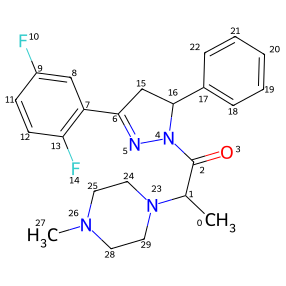 CC(C(=O)N1N=C(c2cc(F)ccc2F)CC1c1ccccc1)N1CCN(C)CC1